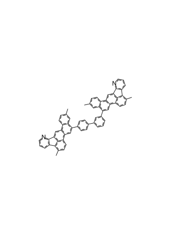 Cc1ccc2c(c1)c(-c1ccc(-c3cccc(-c4cc5c6ccc(C)c7c6c(cc5c5ccc(C)cc45)-c4ncccc4-7)c3)cc1)cc1c3ccc(C)c4c3c(cc21)-c1ncccc1-4